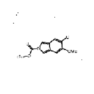 COc1cc2cn(C(=O)OC(C)(C)C)cc2cc1Cl